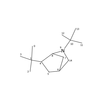 CC(C)(C)C1CC2CC1N(C(C)(C)C)C2